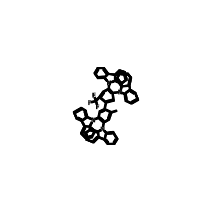 Cc1cc(-n2c3ccccc3c3ccccc32)c(-n2c3ccccc3c3ccccc32)cc1-c1cc(-n2c3ccccc3c3ccccc32)c(-n2c3ccccc3c3ccccc32)cc1C(F)(F)F